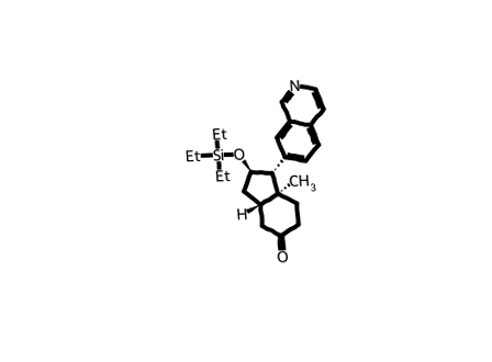 CC[Si](CC)(CC)O[C@@H]1C[C@H]2CC(=O)CC[C@]2(C)[C@H]1c1ccc2ccncc2c1